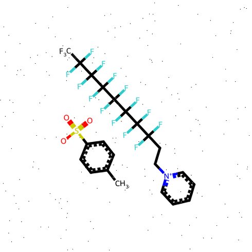 Cc1ccc(S(=O)(=O)[O-])cc1.FC(F)(F)C(F)(F)C(F)(F)C(F)(F)C(F)(F)C(F)(F)C(F)(F)C(F)(F)CC[n+]1ccccc1